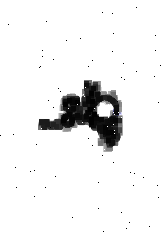 CC[C@@H]1C[C@H](C)CC/C=C\[C@@H]2C[C@@]2(C(=O)NS(=O)(=O)C2(C)CC2)NC(=O)[C@@H]2C[C@@H](Oc3nc4c(c5cc(OC)ccc35)CCCO4)CN2C(=O)[C@H]1N(C(=O)O)C(C)(C)C(F)F